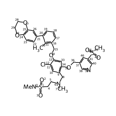 CNS(=O)(=O)CCN(C)Cc1cc(Cl)c(OCc2cccc(-c3ccc4c(c3)OCCO4)c2C)cc1OCc1cncc(S(C)(=O)=O)c1